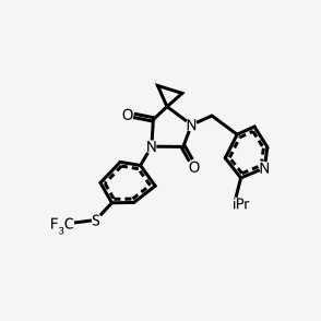 CC(C)c1cc(CN2C(=O)N(c3ccc(SC(F)(F)F)cc3)C(=O)C23CC3)ccn1